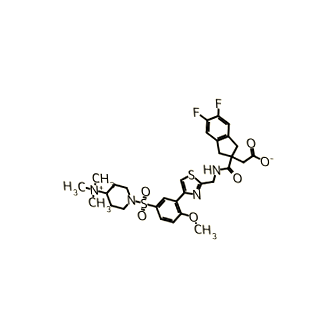 COc1ccc(S(=O)(=O)N2CCC([N+](C)(C)C)CC2)cc1-c1csc(CNC(=O)C2(CC(=O)[O-])Cc3cc(F)c(F)cc3C2)n1